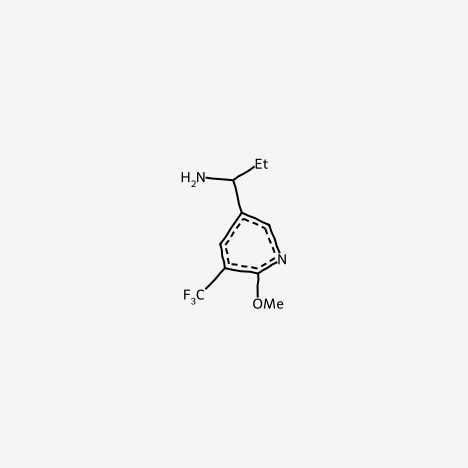 CCC(N)c1cnc(OC)c(C(F)(F)F)c1